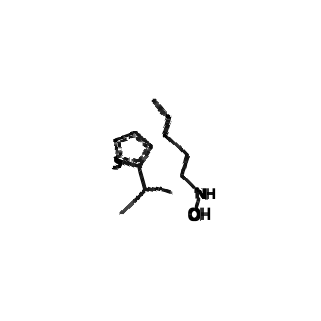 CC(C)c1cccs1.CCCCCNO